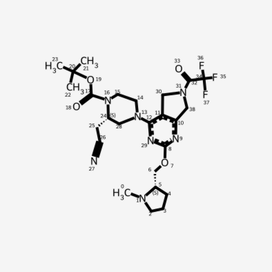 CN1CCC[C@H]1COc1nc2c(c(N3CCN(C(=O)OC(C)(C)C)[C@@H](CC#N)C3)n1)CN(C(=O)C(F)(F)F)C2